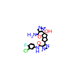 Cn1cnc(C2CC3CC(O)(c4c(C(N)=O)cnn4C)CC3C2)c1C(=O)Nc1ccc(F)c(Cl)c1